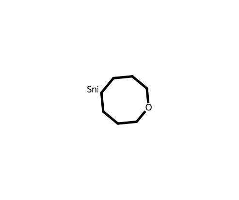 C1CCCOCCC1.[Sn]